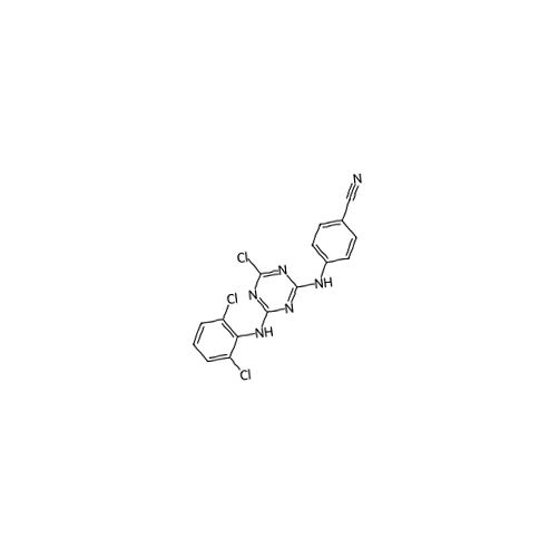 N#Cc1ccc(Nc2nc(Cl)nc(Nc3c(Cl)cccc3Cl)n2)cc1